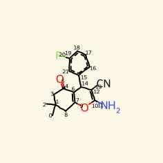 CC1(C)CC(=O)C2=C(C1)OC(N)=C(C#N)C2c1cccc(F)c1